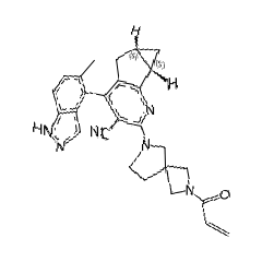 C=CC(=O)N1CC2(CCN(c3nc4c(c(-c5c(C)ccc6[nH]ncc56)c3C#N)C[C@@H]3C[C@H]43)C2)C1